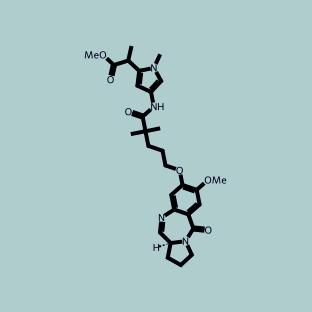 COC(=O)C(C)c1cc(NC(=O)C(C)(C)CCCOc2cc3c(cc2OC)C(=O)N2CCC[C@H]2C=N3)cn1C